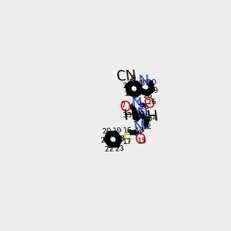 N#Cc1ccc(N2C(=O)[C@@H]3C4C[C@H](CN4C(=O)CSc4ccccc4)N3C2=O)c2cccnc12